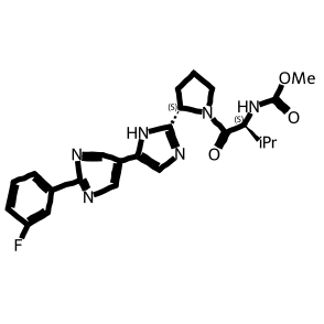 COC(=O)N[C@H](C(=O)N1CCC[C@H]1c1ncc(-c2cnc(-c3cccc(F)c3)nc2)[nH]1)C(C)C